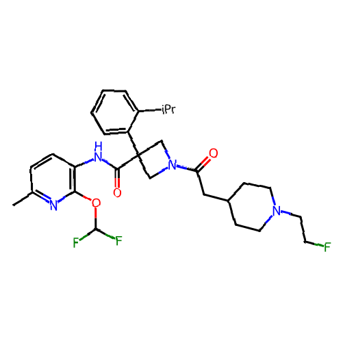 Cc1ccc(NC(=O)C2(c3ccccc3C(C)C)CN(C(=O)CC3CCN(CCF)CC3)C2)c(OC(F)F)n1